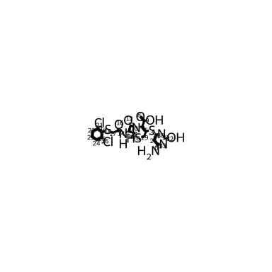 Nc1cc(SC2=C(C(=O)O)N3C(=O)[C@@H](NC(=O)CSc4c(Cl)cccc4Cl)[C@H]3SC2)nc(O)n1